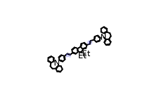 CCC1(CC)c2cc(/C=C/c3ccc(N4C5=C(C=CCC5)CCc5ccccc54)cc3)ccc2-c2ccc(/C=C/c3ccc(N4C5=C(C=CCC5)CCc5ccccc54)cc3)cc21